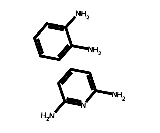 Nc1cccc(N)n1.Nc1ccccc1N